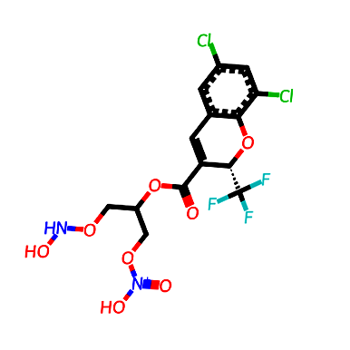 O=C(OC(CONO)CO[N+](=O)O)C1=Cc2cc(Cl)cc(Cl)c2O[C@@H]1C(F)(F)F